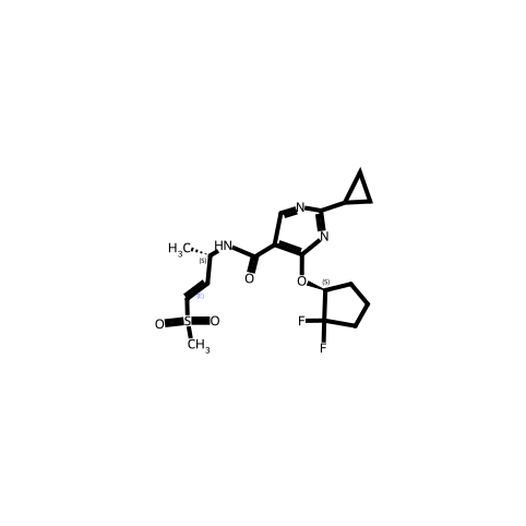 C[C@@H](/C=C/S(C)(=O)=O)NC(=O)c1cnc(C2CC2)nc1O[C@H]1CCCC1(F)F